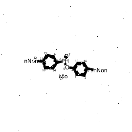 CCCCCCCCCc1ccc(O[PH](=O)c2ccc(CCCCCCCCC)cc2)cc1.[Mo]